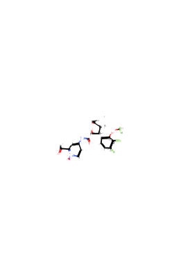 CC(=O)c1cc(NC(=O)[C@@H]2OC(C)(C)[C@H](C)[C@@H]2c2ccc(F)c(F)c2OC(F)F)cc[n+]1[O-]